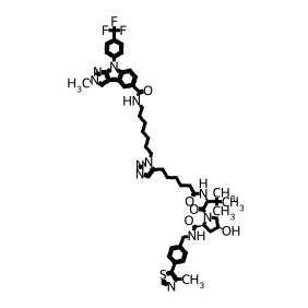 Cc1ncsc1-c1ccc(CNC(=O)[C@@H]2C[C@@H](O)CN2C(=O)[C@@H](NC(=O)CCCCCc2cnnn2CCCCCCCNC(=O)c2ccc3c(c2)c2cn(C)nc2n3-c2ccc(C(F)(F)F)cc2)C(C)(C)C)cc1